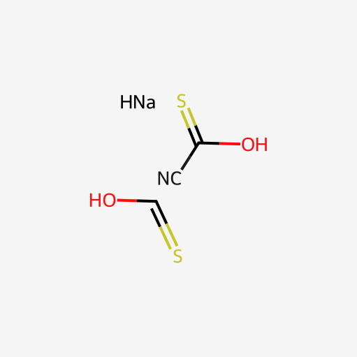 N#CC(O)=S.OC=S.[NaH]